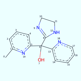 Cc1cccc(C(O)(C2=NCCN2)c2ccccn2)n1